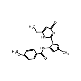 CCc1cc(=O)nc(-n2nc(C)cc2NC(=O)c2ccc(OC)cc2)[nH]1